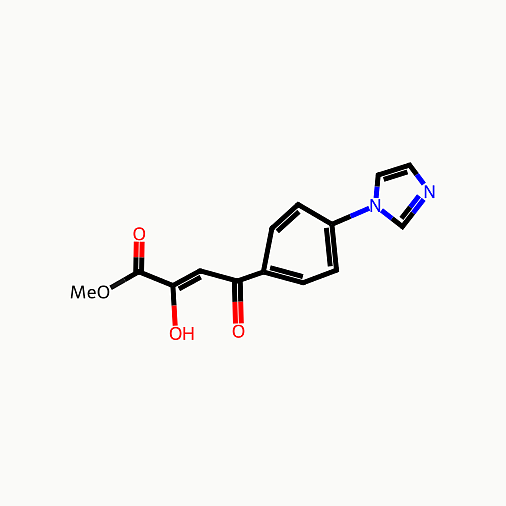 COC(=O)C(O)=CC(=O)c1ccc(-n2ccnc2)cc1